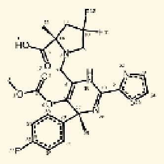 COC(=O)OC1=C(CN2CC(F)(F)C[C@@]2(C)C(=O)O)NC(c2nccs2)=N[C@]1(C)c1ccc(F)cc1